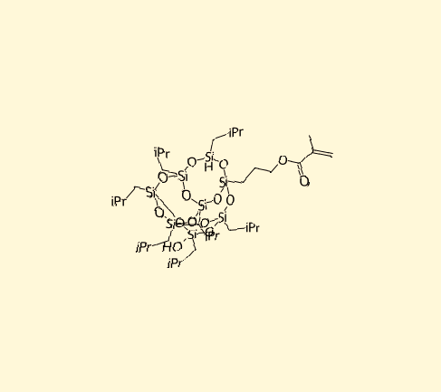 C=C(C)C(=O)OCCC[Si]12O[SiH](CC(C)C)O[Si]3(CC(C)C)O[Si]4(CC(C)C)O[Si](O)(CC(C)C)O[Si](CC(C)C)(O1)O[Si](CC(C)C)(O4)O[Si](CC(C)C)(O2)O3